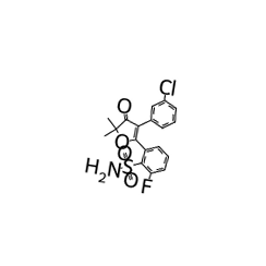 CC1(C)OC(c2cccc(F)c2S(N)(=O)=O)=C(c2cccc(Cl)c2)C1=O